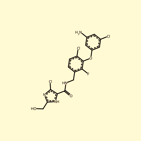 Nc1cc(Cl)cc(Oc2c(Cl)ccc(CNC(=O)c3[nH]c(CO)nc3Cl)c2F)c1